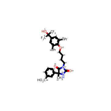 CCCc1cc(C(O)(C(F)(F)F)C(F)(F)F)cc(CCC)c1OCCCCN1C(=O)NC(C)(c2cccc(C(=O)O)c2)C1=O